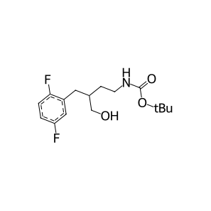 CC(C)(C)OC(=O)NCCC(CO)Cc1cc(F)ccc1F